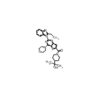 CCc1nc2ccccc2n1-c1nc(N2CCOCC2)c2sc(C(=O)N3CCC(C(C)(C)O)CC3)cc2n1